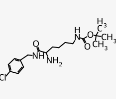 CC(C)(C)OC(=O)NCCCCC(N)C(=O)NCc1ccc(Cl)cc1